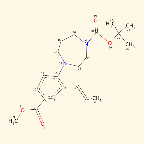 CC=Cc1cc(C(=O)OC)ccc1N1CCCN(C(=O)OC(C)(C)C)CC1